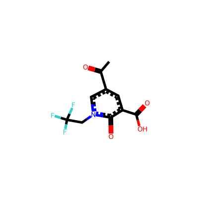 CC(=O)c1cc(C(=O)O)c(=O)n(CC(F)(F)F)c1